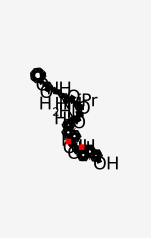 CC(NC(=O)C(NC(=O)C(N)CCCCNC(=O)COC1C#CCCCCC1)C(C)C)C(=O)Nc1ccc2c(c1)[C@@]1(C)CCC[C@](C)(C(=O)NC(=O)[C@@]3(C)CCC[C@]4(C)c5cc(O)ccc5CC[C@@H]34)[C@@H]1CC2